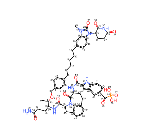 C[C@@H](OCc1ccc(CCCCCCc2ccc3c(c2)n(C)c(=O)n3C2CCC(=O)NC2=O)cc1)[C@H](CCC(N)=O)NC(=O)[C@@H]1Cc2cccc3c2N1C(=O)[C@@H](NC(=O)c1cc2cc(C(=O)P(=O)(O)O)ccc2[nH]1)CC3